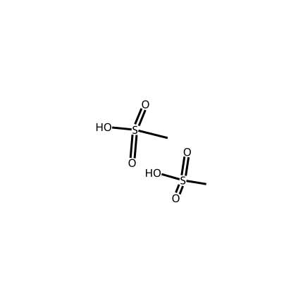 CS(=O)(=O)O.CS(=O)(=O)O